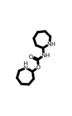 O=C(NC1CCCCCN1)OC1CCCCCN1